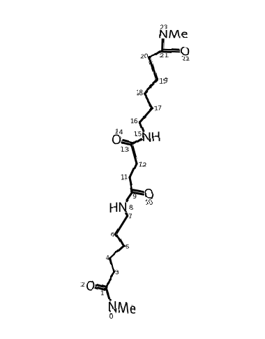 CNC(=O)CCCCCNC(=O)CCC(=O)NCCCCCC(=O)NC